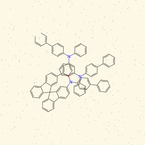 C/C=C\C(=C/C)c1ccc(N(c2ccccc2)c2cc(-c3ccc4c(c3)C3(c5ccccc5-4)c4ccccc4-c4ccc(N(c5ccccc5)c5ccc(-c6ccccc6)cc5)cc43)cc(N(c3ccccc3)c3ccc(-c4ccccc4)cc3)c2)cc1